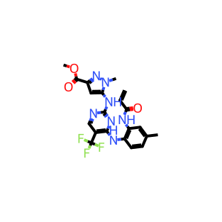 C=CC(=O)Nc1cc(C)ccc1Nc1nc(Nc2cc(C(=O)OC)nn2C)ncc1C(F)(F)F